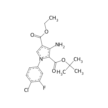 CCOC(=O)c1cn(-c2ccc(Cl)c(F)c2)c(C(=O)OC(C)(C)C)c1N